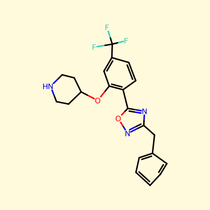 FC(F)(F)c1ccc(-c2nc(Cc3ccccc3)no2)c(OC2CCNCC2)c1